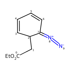 CCOC(=O)CC1C=CC=CC1=[N+]=[N-]